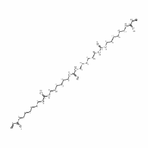 C=CC(=O)OCCCCCCOC(=O)OCCCCCCOC(=O)OCCCCCCOC(=O)OCCCCCCOC(=O)C=C